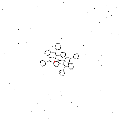 C(#CC1(C(=C(c2ccccc2)c2ccccc2)c2ccccc2)C=CC(c2ccccc2)=CC1)C1(C(=C(c2ccccc2)c2ccccc2)c2ccccc2)C=CC(c2ccccc2)=CC1